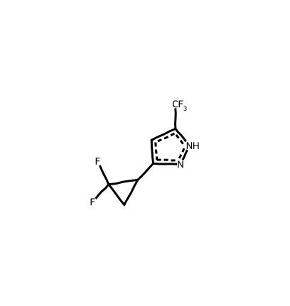 FC(F)(F)c1cc(C2CC2(F)F)n[nH]1